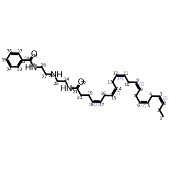 CC/C=C\C/C=C\C/C=C\C/C=C\C/C=C\C/C=C\CCC(=O)NCCNCCNC(=O)c1ccccc1